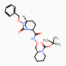 CC(C)(C)OC(=O)N1CCCC[C@H]1CONC(=O)C1CC[C@@H]2CN1C(=O)N2OCc1ccccc1